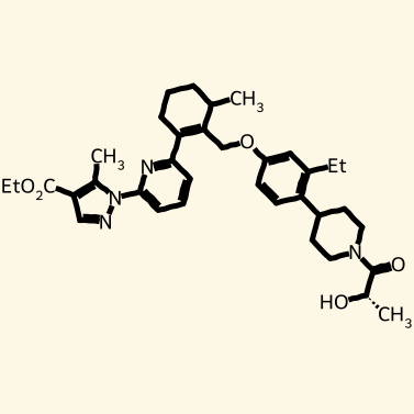 CCOC(=O)c1cnn(-c2cccc(C3=C(COc4ccc(C5CCN(C(=O)[C@H](C)O)CC5)c(CC)c4)C(C)CCC3)n2)c1C